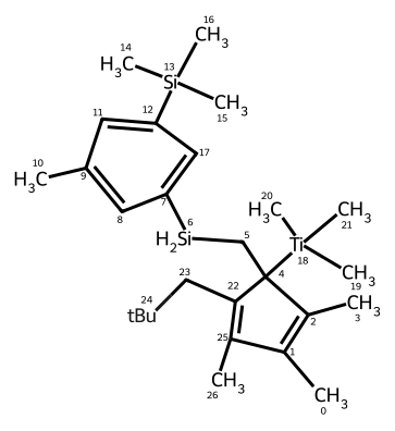 CC1=C(C)[C](C[SiH2]c2cc(C)cc([Si](C)(C)C)c2)([Ti]([CH3])([CH3])[CH3])C(CC(C)(C)C)=C1C